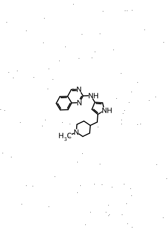 CN1CCC(Cc2cc(Nc3ncc4ccccc4n3)c[nH]2)CC1